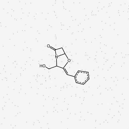 O=C1CC2O/C(=C\c3ccccc3)C(CO)N12